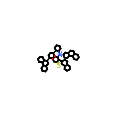 c1ccc(N(c2ccc3c(ccc4ccccc43)c2)c2cccc3sc4c5ccccc5ccc4c23)c(-c2ccc(-c3cc4ccccc4c4ccccc34)cc2)c1